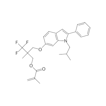 C=C(C)C(=O)OCC(C)(COc1ccc2cc(-c3ccccc3)n(CC(C)C)c2c1)C(F)(F)F